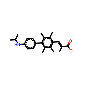 C/C(=C\c1c(C)c(C)c(-c2ccc(NC(C)C)cc2)c(C)c1C)C(=O)O